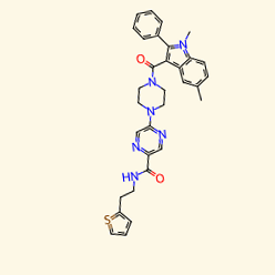 Cc1ccc2c(c1)c(C(=O)N1CCN(c3cnc(C(=O)NCCc4cccs4)cn3)CC1)c(-c1ccccc1)n2C